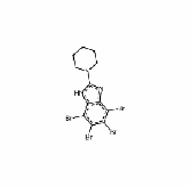 Brc1c(Br)c(Br)c2[nH]c(N3CCCCC3)nc2c1Br